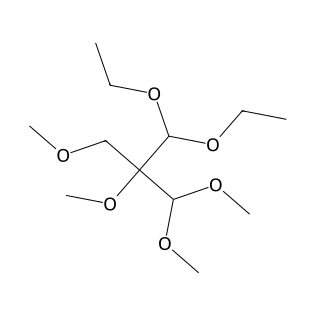 CCOC(OCC)C(COC)(OC)C(OC)OC